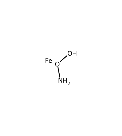 NOO.[Fe]